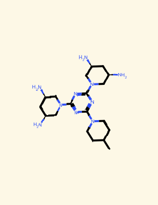 CC1CCN(c2nc(N3C[C@H](N)C[C@H](N)C3)nc(N3C[C@H](N)C[C@H](N)C3)n2)CC1